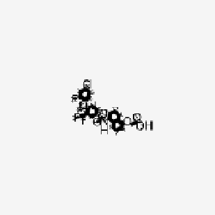 O=C(O)COc1cccc2c1CCCC2NS(=O)(=O)c1ccc(Oc2ccc(Cl)cc2F)c(C(F)(F)F)c1